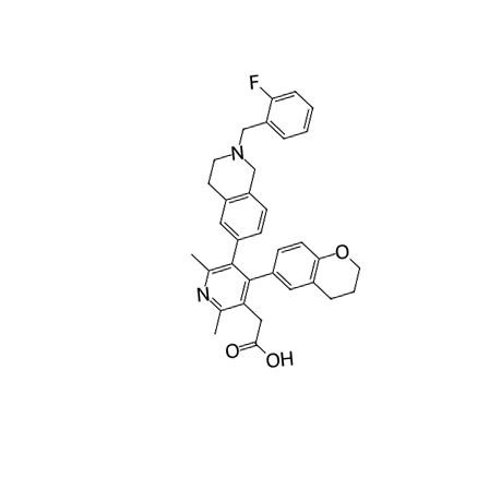 Cc1nc(C)c(-c2ccc3c(c2)CCN(Cc2ccccc2F)C3)c(-c2ccc3c(c2)CCCO3)c1CC(=O)O